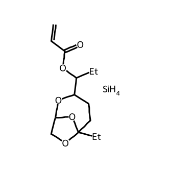 C=CC(=O)OC(CC)C1CCC2(CC)OCC(O1)O2.[SiH4]